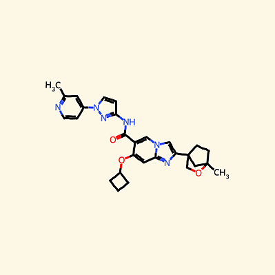 Cc1cc(-n2ccc(NC(=O)c3cn4cc(C56CCC(C)(C5)OC6)nc4cc3OC3CCC3)n2)ccn1